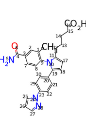 Cc1cc(C(N)=O)ccc1-n1c(CCCCC(=O)O)ccc1-c1ccc(-n2cccn2)cc1